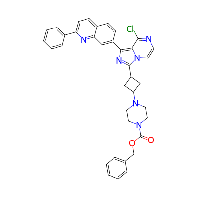 O=C(OCc1ccccc1)N1CCN(C2CC(c3nc(-c4ccc5ccc(-c6ccccc6)nc5c4)c4c(Cl)nccn34)C2)CC1